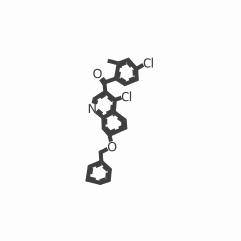 Cc1cc(Cl)ccc1C(=O)c1cnc2cc(OCc3ccccc3)ccc2c1Cl